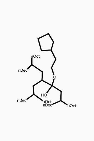 CCCCCCCCCCC(CCCCCCCC)CC(CC(CCCCCCCC)CCCCCCCCCC)C(O)(CC(CCCCCCCC)CCCCCCCCCC)OCCC1CCCC1